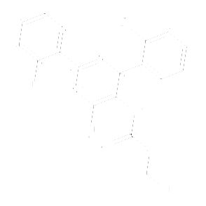 CCOC(=O)OC1=C(C)NC(c2ncccc2F)=NC1c1ccccc1Br